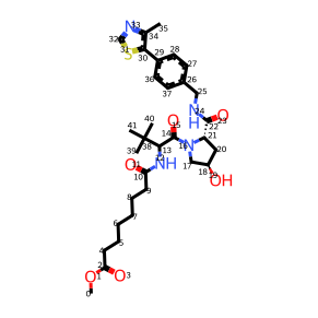 COC(=O)CCCCCCC(=O)NC(C(=O)N1C[C@H](O)C[C@H]1C(=O)NCc1ccc(-c2scnc2C)cc1)C(C)(C)C